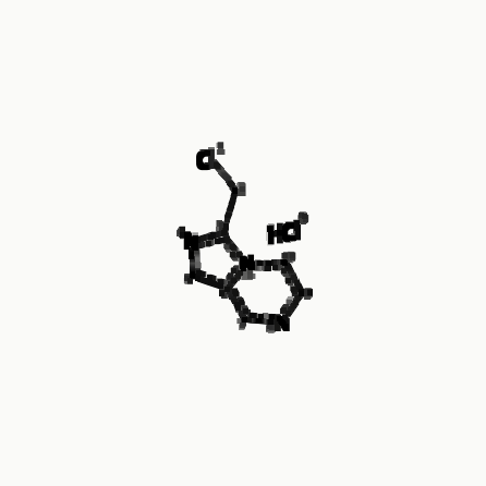 Cl.ClCc1ncc2cnccn12